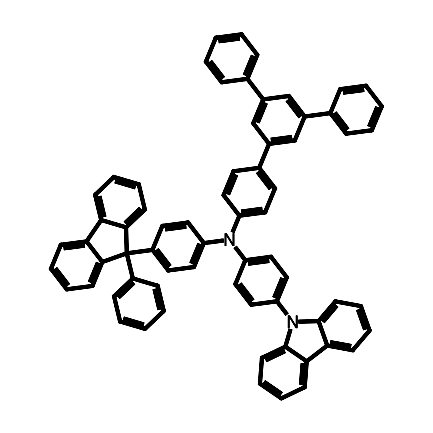 c1ccc(-c2cc(-c3ccccc3)cc(-c3ccc(N(c4ccc(-n5c6ccccc6c6ccccc65)cc4)c4ccc(C5(c6ccccc6)c6ccccc6-c6ccccc65)cc4)cc3)c2)cc1